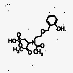 CC(=O)C(CS(=O)(=O)O)N(CCOCc1ccccc1O)C(C)=O